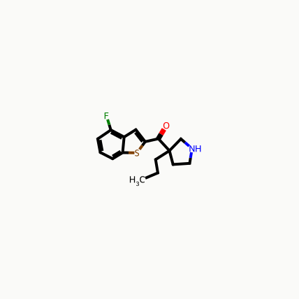 CCCC1(C(=O)c2cc3c(F)cccc3s2)CCNC1